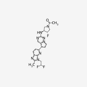 CC(=O)N1C[C@H](Nc2ncc3c(-c4ccc5nc(C)n(CC(F)F)c5n4)ccn3n2)[C@@H](F)C1